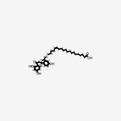 O=C(O)CCCCCCCCCCCCC/C=C\CCCCCCCC[C@@]1(c2ccc(O)cc2)CC(=O)c2c(O)cc(O)cc2O1